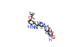 CC1(OC2=CCC3NN=C(c4cc(N5CCC6(CC5)CNC(=O)CO6)ncn4)C3C2)CC1